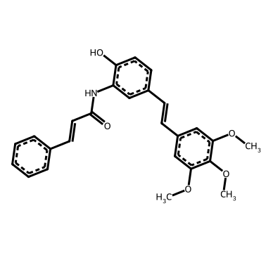 COc1cc(/C=C/c2ccc(O)c(NC(=O)/C=C/c3ccccc3)c2)cc(OC)c1OC